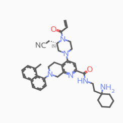 C=CC(=O)N1CCN(c2cc(C(=O)NCCC3(N)CCCCC3)nc3c2CCN(c2cccc4cccc(C)c24)C3)C[C@@H]1CC#N